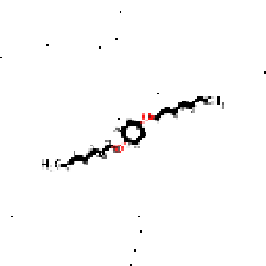 CCC=CC=CCO[C@H]1CC[C@H](OCC=CC=CCC)CC1